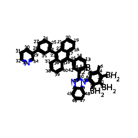 Bc1c(B)c(C)c(B)c(-n2c(-c3cccc(-c4c5ccccc5c(-c5cccc(-c6cccnc6)c5)c5ccccc45)c3)nc3ccccc32)c1B